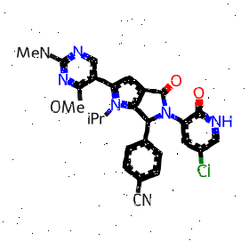 CNc1ncc(-c2cc3c(n2C(C)C)C(c2ccc(C#N)cc2)N(c2cc(Cl)c[nH]c2=O)C3=O)c(OC)n1